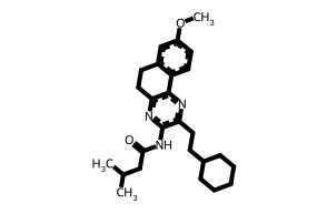 COc1ccc2c(c1)CCc1nc(NC(=O)CC(C)C)c(CCC3CCCCC3)nc1-2